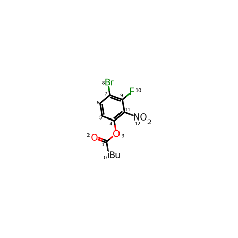 CCC(C)C(=O)Oc1ccc(Br)c(F)c1[N+](=O)[O-]